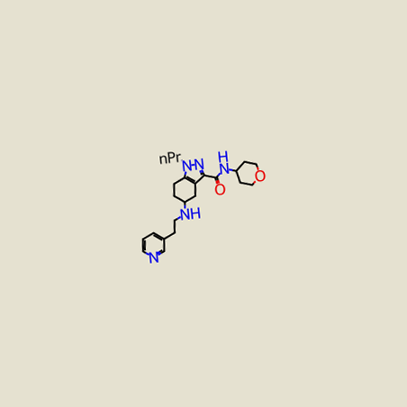 CCCn1nc(C(=O)NC2CCOCC2)c2c1CCC(NCCc1cccnc1)C2